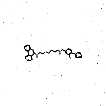 Clc1cc(CNCCCCOCCNc2nc3ccccc3c3cnccc23)ccc1-c1ccccc1